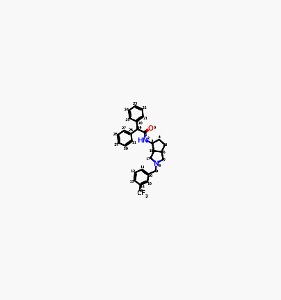 O=C(NC1CCC2CN(Cc3cccc(C(F)(F)F)c3)CC21)C(c1ccccc1)c1ccccc1